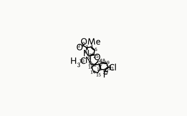 COC(=O)c1ccc2c(n1)N(C)CC1(CCCc3c1ccc(Cl)c3F)CO2